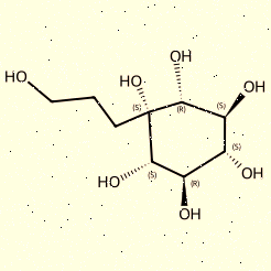 OCCC[C@@]1(O)[C@H](O)[C@@H](O)[C@H](O)[C@@H](O)[C@@H]1O